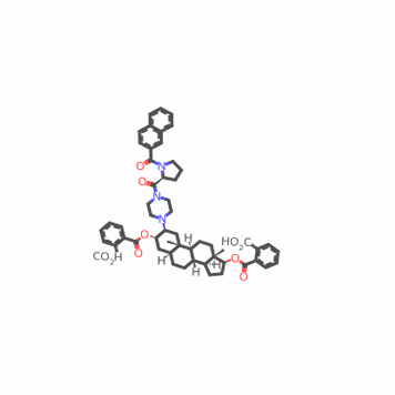 C[C@]12C[C@H](N3CCN(C(=O)[C@@H]4CCCN4C(=O)c4ccc5ccccc5c4)CC3)[C@@H](OC(=O)c3ccccc3C(=O)O)C[C@@H]1CC[C@@H]1[C@@H]2CC[C@]2(C)[C@@H](OC(=O)c3ccccc3C(=O)O)CC[C@@H]12